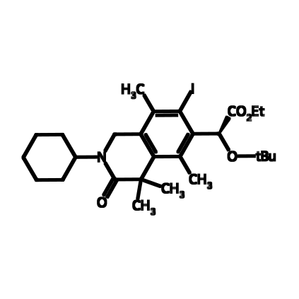 CCOC(=O)[C@@H](OC(C)(C)C)c1c(C)c2c(c(C)c1I)CN(C1CCCCC1)C(=O)C2(C)C